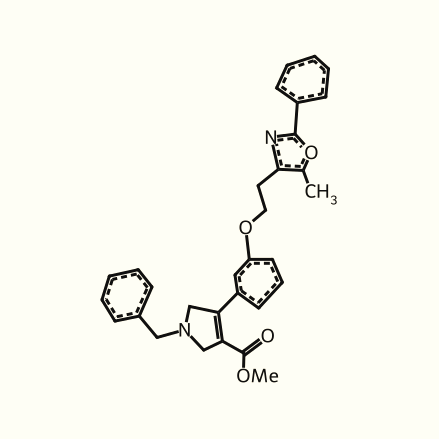 COC(=O)C1=C(c2cccc(OCCc3nc(-c4ccccc4)oc3C)c2)CN(Cc2ccccc2)C1